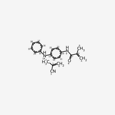 C=C(C)C#N.C=C(C)C(=O)Nc1ccc(Nc2ccccc2)cc1